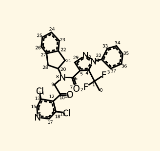 CC(F)(F)c1c(C(=O)N(CC(=O)c2c(Cl)cncc2Cl)C2Cc3ccccc3C2)cnn1-c1ccccc1